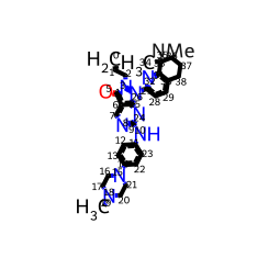 C=CCn1c(=O)c2cnc(Nc3ccc(N4CCN(C)CC4)cc3)nc2n1-c1ccc2c(n1)C(C)(NC)CCC2